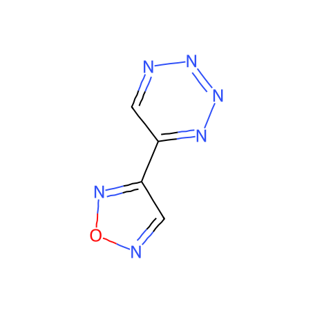 c1nnnnc1-c1cnon1